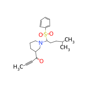 CC#CC(=O)C1CCCN(C(CCC(C)C)S(=O)(=O)c2ccccc2)C1